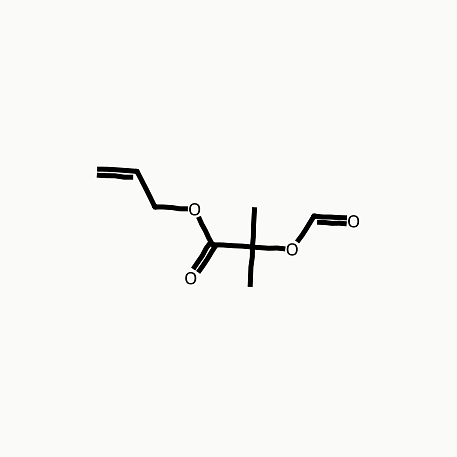 C=CCOC(=O)C(C)(C)OC=O